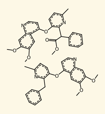 COC(=O)C(c1ccccc1)c1nc(C)ccc1Oc1ccnc2cc(OC)c(OC)cc12.COc1cc2nccc(Oc3ccc(C)nc3Cc3ccccc3)c2cc1OC